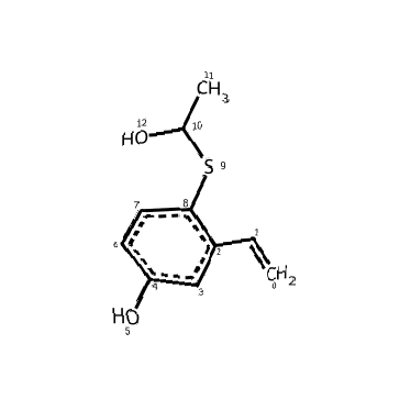 C=Cc1cc(O)ccc1SC(C)O